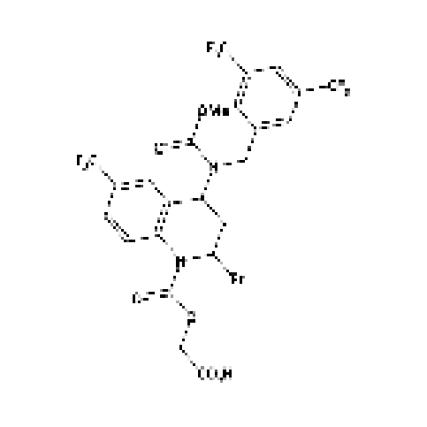 CCC1CC(N(Cc2cc(C(F)(F)F)cc(C(F)(F)F)c2)C(=O)OC)c2cc(C(F)(F)F)ccc2N1C(=O)OCC(=O)O